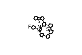 Fc1ccc(-c2nc(-c3cccc(-c4ccccc4)c3)cc(-c3cc(-c4cccc5c4sc4ccccc45)cc(-c4cccc5c4sc4ccccc45)c3)n2)cc1